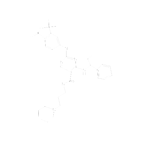 CC1(C)OC(=O)c2ccc(Nc3ncc(C(=O)NCCCN4CCOCC4)c(NC(CO)c4ccccc4)n3)cc21